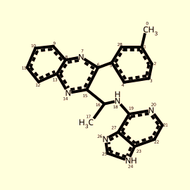 Cc1cccc(-c2nc3ccccc3nc2C(C)Nc2nccc3[nH]cnc23)c1